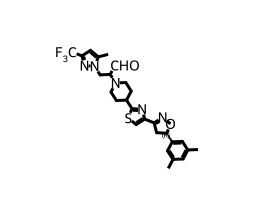 Cc1cc(C)cc([C@H]2CC(c3csc(C4CCN(C(C=O)Cn5nc(C(F)(F)F)cc5C)CC4)n3)=NO2)c1